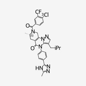 Cc1nnc(-c2ccc(-n3c(=O)c4c(n5ncc(CC(C)C)c35)CN(C(=O)c3ccc(Cl)c(C(F)(F)F)c3)[C@@H](C)C4)cc2)[nH]1